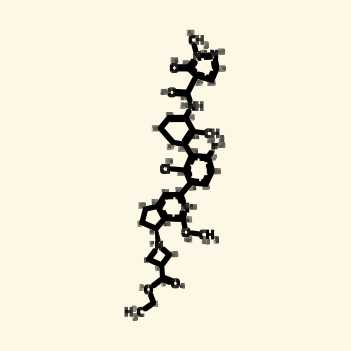 CCOC(=O)C1CN([C@H]2CCc3cc(-c4ccc(F)c(C5=C(C)C(NC(=O)c6ccnn(C)c6=O)=CCC5)c4Cl)nc(OC)c32)C1